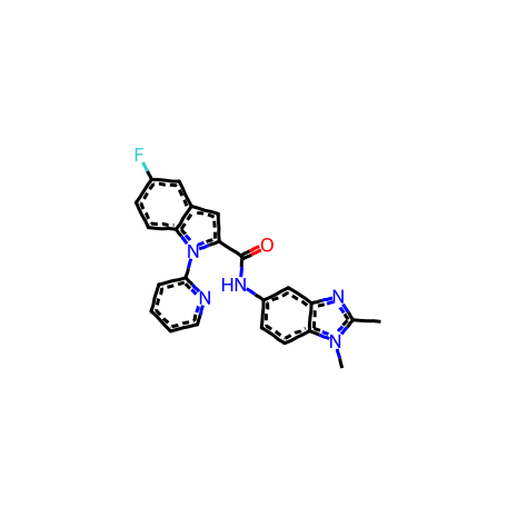 Cc1nc2cc(NC(=O)c3cc4cc(F)ccc4n3-c3ccccn3)ccc2n1C